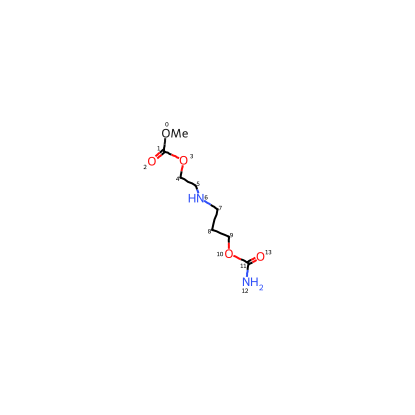 COC(=O)OCCNCCCOC(N)=O